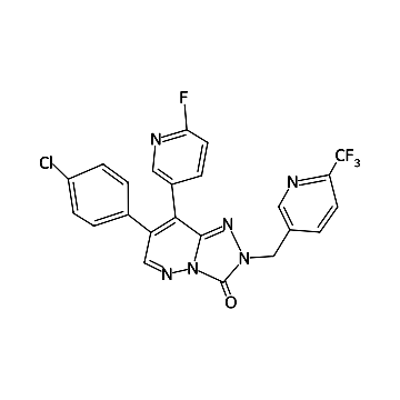 O=c1n(Cc2ccc(C(F)(F)F)nc2)nc2c(-c3ccc(F)nc3)c(-c3ccc(Cl)cc3)cnn12